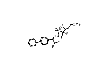 COCCC(F)C(F)(F)S(=O)(=O)ON=C(c1ccc(-c2ccccc2)cc1)C(F)F